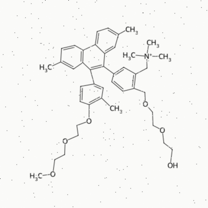 COCCOCCOc1ccc(-c2c(-c3ccc(COCCOCCO)c(C[N+](C)(C)C)c3)c3cc(C)ccc3c3ccc(C)cc23)cc1C